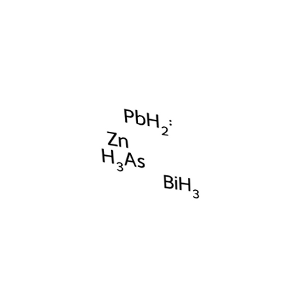 [AsH3].[BiH3].[PbH2].[Zn]